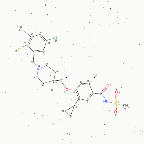 CS(=O)(=O)NC(=O)c1cc(C2CC2)c(OCC2(F)CCN(Cc3cc(Cl)cc(Cl)c3F)CC2)cc1F